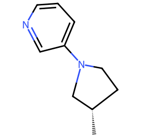 C[C@H]1CCN(c2cccnc2)C1